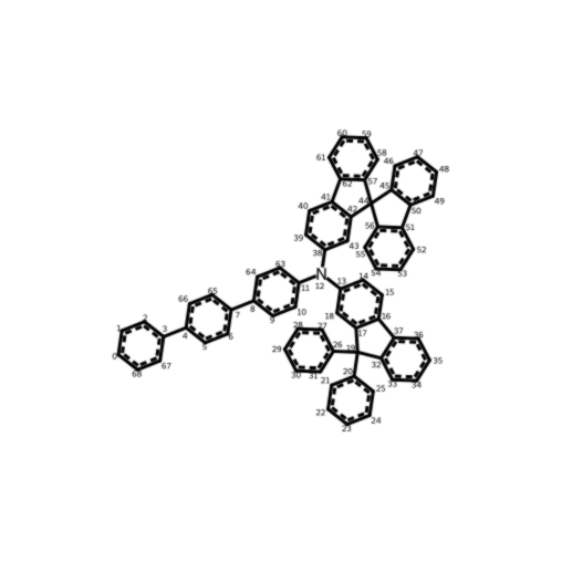 c1ccc(-c2ccc(-c3ccc(N(c4ccc5c(c4)C(c4ccccc4)(c4ccccc4)c4ccccc4-5)c4ccc5c(c4)C4(c6ccccc6-c6ccccc64)c4ccccc4-5)cc3)cc2)cc1